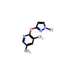 CCn1ccc(Oc2ncc([N+](=O)[O-])cc2C(F)(F)F)n1